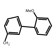 [CH2]c1cccc(-c2ccccc2OC)c1